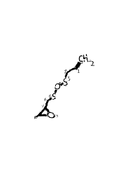 C=CCSOSCC1CO1